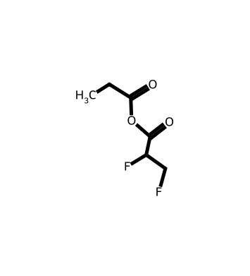 CCC(=O)OC(=O)C(F)CF